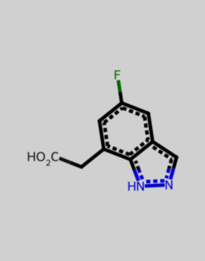 O=C(O)Cc1cc(F)cc2cn[nH]c12